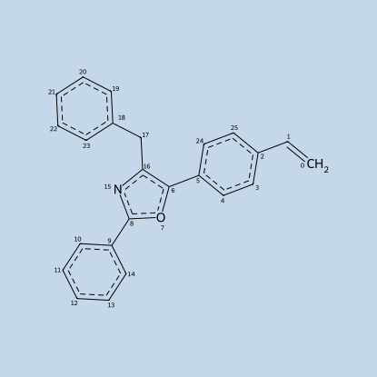 C=Cc1ccc(-c2oc(-c3ccccc3)nc2Cc2ccccc2)cc1